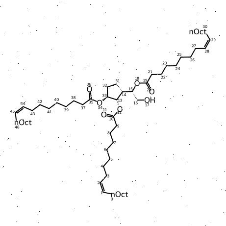 CCCCCCCC/C=C\CCCCCCCC(=O)O[C@H]1[C@@H]([C@@H](CO)OC(=O)CCCCCCC/C=C\CCCCCCCC)CC[C@@H]1OC(=O)CCCCCCC/C=C\CCCCCCCC